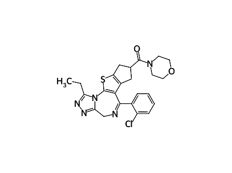 CCc1nnc2n1-c1sc3c(c1C(c1ccccc1Cl)=NC2)CC(C(=O)N1CCOCC1)C3